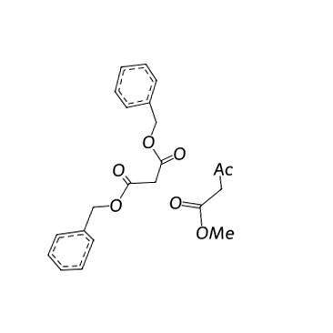 COC(=O)CC(C)=O.O=C(CC(=O)OCc1ccccc1)OCc1ccccc1